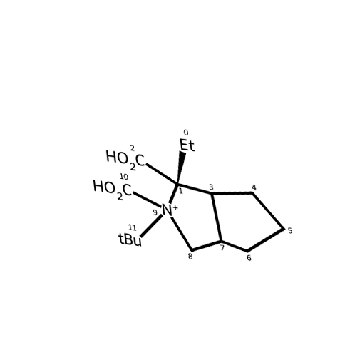 CC[C@@]1(C(=O)O)C2CCCC2C[N+]1(C(=O)O)C(C)(C)C